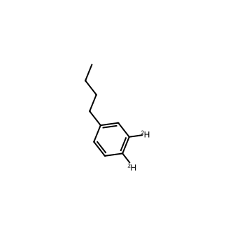 [2H]c1ccc(CCCC)cc1[2H]